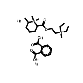 CC[N+](C)(CC)CCOC(=O)C1CCCC(C)[N+]1(C)C.I.I.O=C(O)c1ccccc1C(=O)O